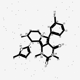 Cc1ccc([C@H]2c3c4c(c(-c5cccc(F)c5)n3CC[C@@H]2C)c(=O)n(C)c(=O)n4C)o1